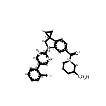 O=C(O)C1CCCN(C(=O)c2ccc3c(c2)N(c2ncc(-c4ccccc4F)cn2)CC32CC2)C1